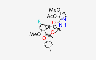 COc1cc(F)ccc1[C@@H](Oc1ccc(C)cc1)[C@H](C)OC[C@](C)(C=O)NC(=O)c1nccc(OC)c1OC(C)=O